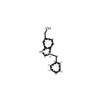 OCc1ccc2c(c1)ncn2Cc1ccccc1